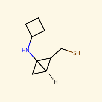 SCC1[C@H]2CC12NC1CCC1